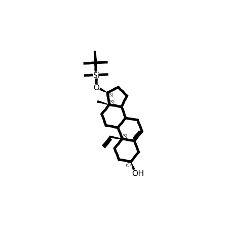 C=C[C@]12CC[C@H](O)CC1=CCC1C2CC[C@@]2(C)C1CC[C@@H]2O[Si](C)(C)C(C)(C)C